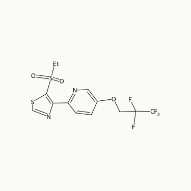 CCS(=O)(=O)c1scnc1-c1ccc(OCC(F)(F)C(F)(F)F)cn1